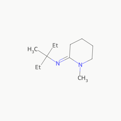 CCC(C)(CC)N=C1CCCCN1C